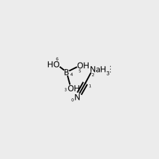 N#[C][NaH3].OB(O)O